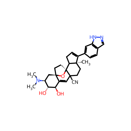 CN(C)[C@H]1C[C@@]23CC[C@]4(O2)C2CC=C(c5ccc6cn[nH]c6c5)[C@@]2(C)CCC4(C#N)C=C3[C@@H](O)[C@@H]1O